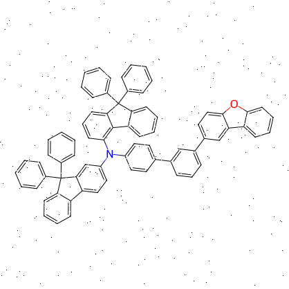 c1ccc(C2(c3ccccc3)c3ccccc3-c3ccc(N(c4ccc(-c5cccc(-c6ccc7oc8ccccc8c7c6)c5)cc4)c4cccc5c4-c4ccccc4C5(c4ccccc4)c4ccccc4)cc32)cc1